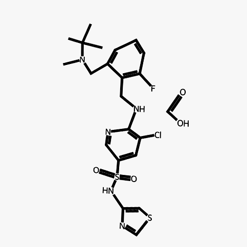 CN(Cc1cccc(F)c1CNc1ncc(S(=O)(=O)Nc2cscn2)cc1Cl)C(C)(C)C.O=CO